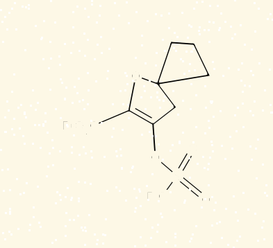 CCOC(=O)C1=C(OS(=O)(=O)C(F)(F)F)CC2(CCC2)O1